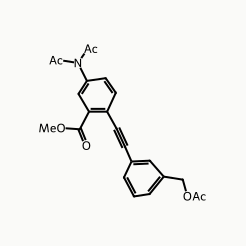 COC(=O)c1cc(N(C(C)=O)C(C)=O)ccc1C#Cc1cccc(COC(C)=O)c1